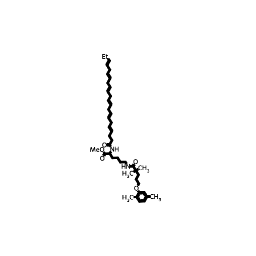 CCC=CCC=CCC=CCC=CCC=CCC=CCCC(=O)NC(CCCCNC(=O)C(C)(C)CCCOc1cc(C)ccc1C)C(=O)OC